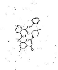 Cc1cc([C@@H](C)Nc2ccccc2C(=O)OCc2ccccc2)c2oc(N3CCC(C)(C)CC3)cc(=O)c2c1